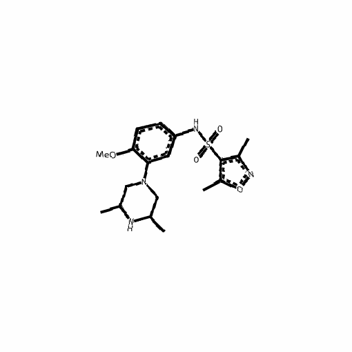 COc1ccc(NS(=O)(=O)c2c(C)noc2C)cc1N1CC(C)NC(C)C1